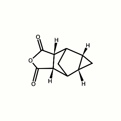 O=C1OC(=O)[C@H]2C3CC([C@@H]12)[C@@H]1C[C@H]31